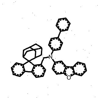 c1ccc(-c2ccc(N(Cc3cccc4c3C3(c5ccccc5-4)C4CC5CC(C4)CC3C5)c3ccc4oc5ccccc5c4c3)cc2)cc1